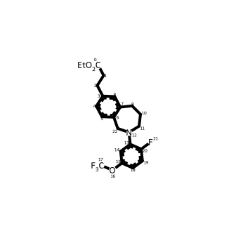 CCOC(=O)CCc1ccc2c(c1)CCCN(c1cc(OC(F)(F)F)ccc1F)C2